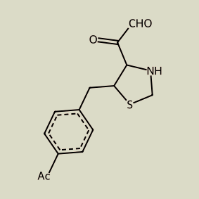 CC(=O)c1ccc(CC2SCNC2C(=O)C=O)cc1